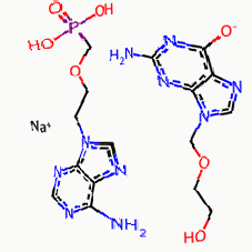 Nc1nc([O-])c2ncn(COCCO)c2n1.Nc1ncnc2c1ncn2CCOCP(=O)(O)O.[Na+]